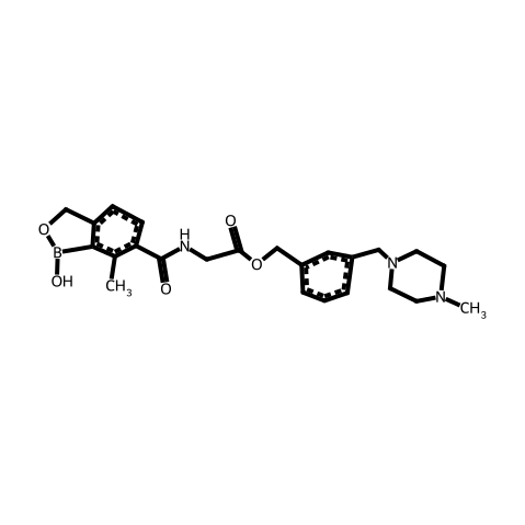 Cc1c(C(=O)NCC(=O)OCc2cccc(CN3CCN(C)CC3)c2)ccc2c1B(O)OC2